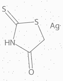 O=C1CSC(=S)N1.[Ag]